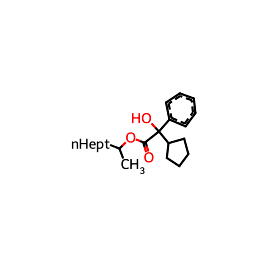 CCCCCCCC(C)OC(=O)C(O)(c1ccccc1)C1CCCC1